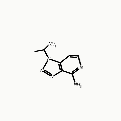 CC(N)n1nnc2c(N)nccc21